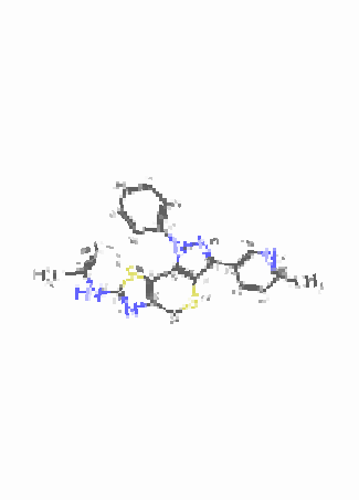 C=C(C)Nc1nc2c(s1)-c1c(c(-c3ccc(C)nc3)nn1-c1ccccc1)SC2